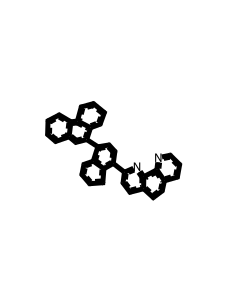 c1ccc2c(c1)cc(-c1ccc(-c3ccc4ccc5cccnc5c4n3)c3ccccc13)c1ccccc12